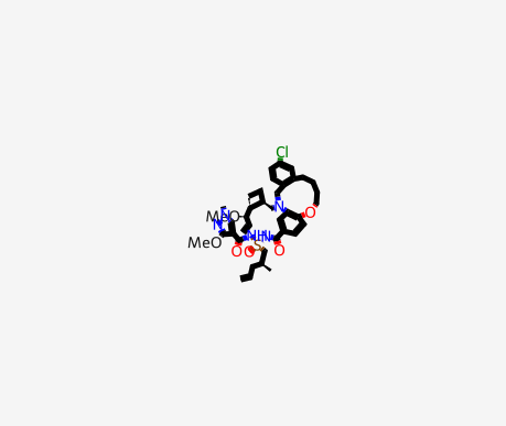 C=CC[C@H](C)CS(=O)(=NC(=O)c1ccc2c(c1)N(C[C@@H]1CC[C@H]1[C@H](C=C)OC)Cc1ccc(Cl)cc1CCCCO2)NC(=O)c1cn(C)nc1OC